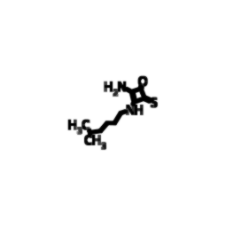 CC(C)CCCCNc1c(N)c(=O)c1=S